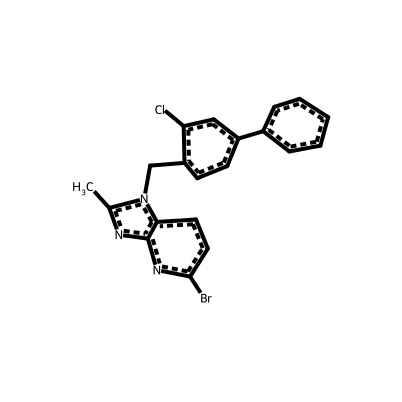 Cc1nc2nc(Br)ccc2n1Cc1ccc(-c2ccccc2)cc1Cl